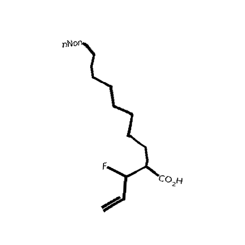 C=CC(F)C(CCCCCCCCCCCCCCCC)C(=O)O